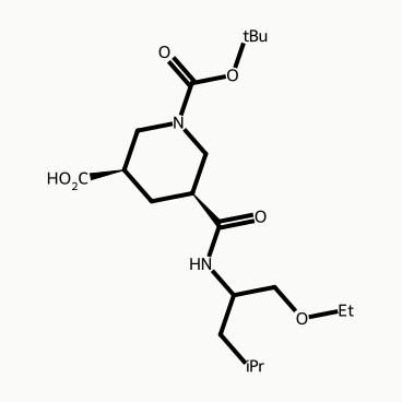 CCOCC(CC(C)C)NC(=O)[C@H]1C[C@@H](C(=O)O)CN(C(=O)OC(C)(C)C)C1